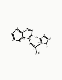 N#CC(=Cc1ccnc2ccccc12)c1cccs1